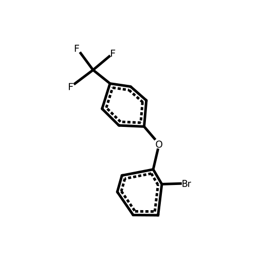 FC(F)(F)c1ccc(Oc2ccccc2Br)cc1